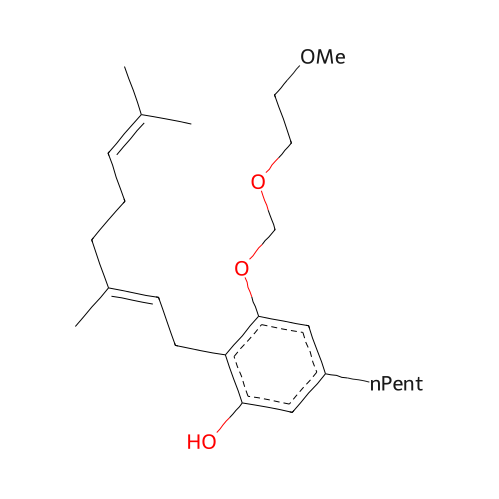 CCCCCc1cc(O)c(C/C=C(\C)CCC=C(C)C)c(OCOCCOC)c1